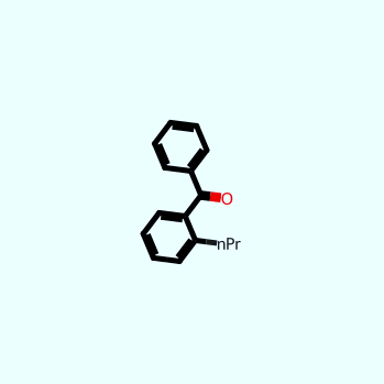 CCCc1ccccc1C(=O)c1ccccc1